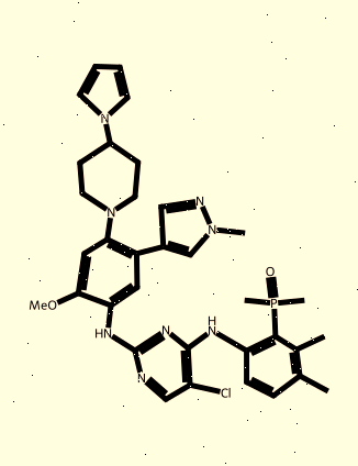 COc1cc(N2CCC(n3cccc3)CC2)c(-c2cnn(C)c2)cc1Nc1ncc(Cl)c(Nc2ccc(C)c(C)c2P(C)(C)=O)n1